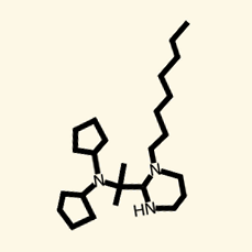 CCCCCCCCN1CCCNC1C(C)(C)N(C1CCCC1)C1CCCC1